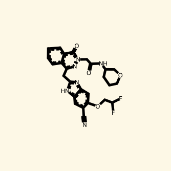 N#Cc1cc2[nH]c(Cc3nn(CC(=O)NC4CCCOC4)c(=O)c4ccccc34)nc2cc1OCC(F)F